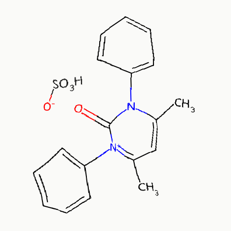 Cc1cc(C)[n+](-c2ccccc2)c(=O)n1-c1ccccc1.O=S(=O)([O-])O